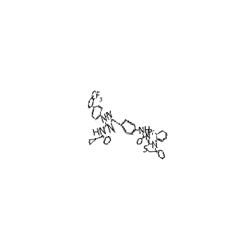 CC(C)c1ccccc1N1C(=O)CSC1=NC(=O)Nc1ccc(-c2nc(NC(=O)C3CC3)n(-c3ccc(OC(F)(F)F)cc3)n2)cc1